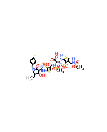 CCC1CN(Cc2ccc(F)cc2)C(=O)C(C2=NS(=O)(=O)c3c(CN(C(C(=O)O)C4=NS(=O)(=O)c5c(CNS(C)(=O)=O)csc5N4)S(C)(=O)=O)csc3N2)=C1O